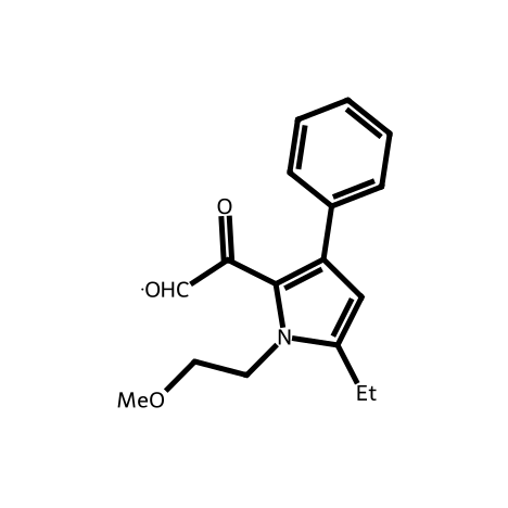 CCc1cc(-c2ccccc2)c(C(=O)[C]=O)n1CCOC